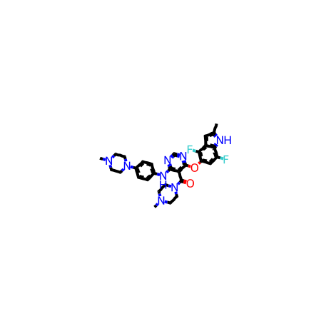 Cc1cc2c(F)c(Oc3ncnc(Nc4ccc(N5CCN(C)CC5)cc4)c3C(=O)N3CCN(C)CC3)cc(F)c2[nH]1